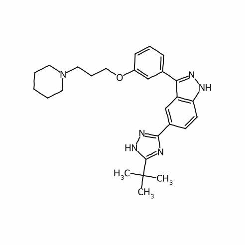 CC(C)(C)c1nc(-c2ccc3[nH]nc(-c4cccc(OCCCN5CCCCC5)c4)c3c2)n[nH]1